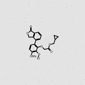 CCOc1c(OC)ccc(-c2cccc3c2COC3=O)c1OCC(=O)OCC1CC1